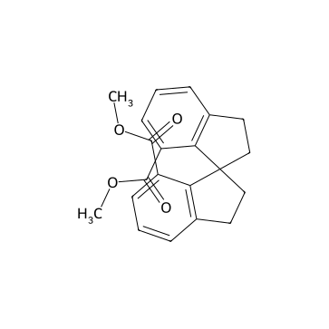 COC(=O)c1cccc2c1C1(CC2)CCc2cccc(C(=O)OC)c21